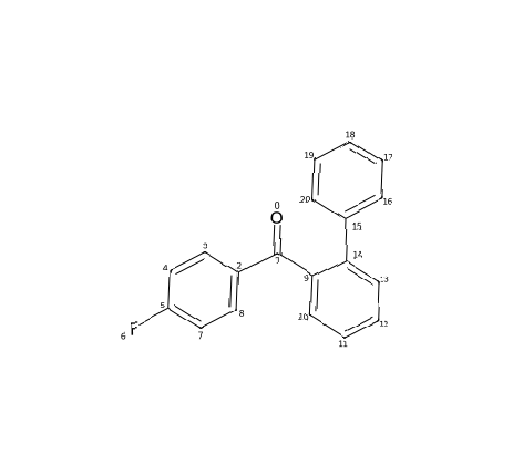 O=C(c1ccc(F)cc1)c1ccccc1-c1ccccc1